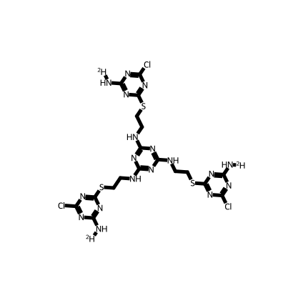 [2H]Nc1nc(Cl)nc(SCCNc2nc(NCCSc3nc(Cl)nc(N[2H])n3)nc(NCCSc3nc(Cl)nc(N[2H])n3)n2)n1